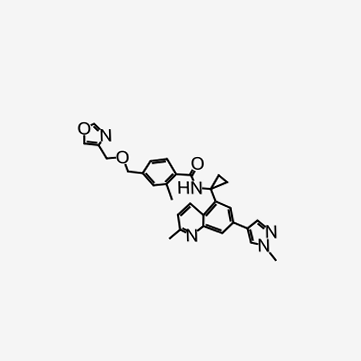 Cc1ccc2c(C3(NC(=O)c4ccc(COCc5cocn5)cc4C)CC3)cc(-c3cnn(C)c3)cc2n1